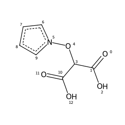 O=C(O)C(On1cccc1)C(=O)O